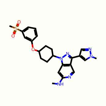 CNc1cc2c(cn1)c(-c1cnn(C)c1)nn2C1CCC(Oc2cccc(S(C)(=O)=O)c2)CC1